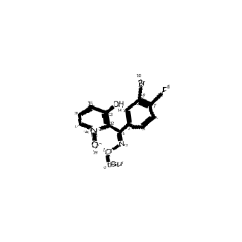 CC(C)(C)ON=C(c1ccc(F)c(Br)c1)c1c(O)ccc[n+]1[O-]